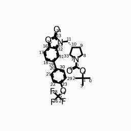 CC(C)(C)OC(=O)N1CC[C@@H](Cn2c(=O)oc3ccc(-c4ccc(OC(F)(F)F)cc4)cc32)C1